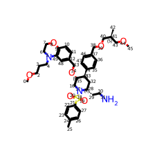 COCCCN1CCOc2ccc(CO[C@H]3CN(S(=O)(=O)c4ccc(C)cc4)[C@@H](CCN)C[C@@H]3c3ccc(COC[C@@H](C)COC)cc3)cc21